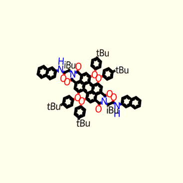 CCC(C)C(C(=O)Nc1ccc2ccccc2c1)N1C(=O)c2cc(Oc3ccc(C(C)(C)C)cc3)c3c4c(Oc5ccc(C(C)(C)C)cc5)cc5c6c(cc(Oc7ccc(C(C)(C)C)cc7)c(c7c(Oc8ccc(C(C)(C)C)cc8)cc(c2c37)C1=O)c64)C(=O)N(C(C(=O)Nc1ccc2ccccc2c1)C(C)CC)C5=O